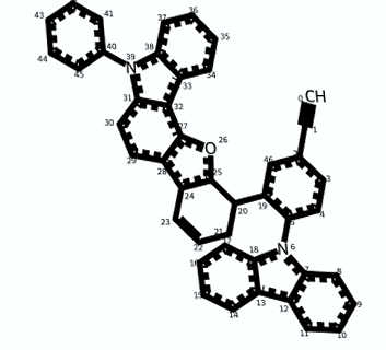 C#Cc1ccc(-n2c3ccccc3c3ccccc32)c(C2CC=Cc3c2oc2c3ccc3c2c2ccccc2n3-c2ccccc2)c1